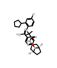 CC(C)(Oc1ccc(Cl)cc1C1CCCC1)C(=O)N[C@H]1C[C@H]2CC[C@@H](C1)N2c1ccc(C(N)=O)cn1